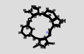 Cc1nn(C)c2c1/C=C/c1n[nH]c3ccc(cc13)-c1cnn(C)c1O[C@@H]1CCCN(C2)C1